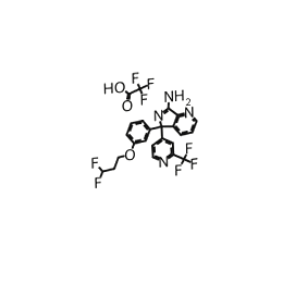 NC1=NC(c2cccc(OCCC(F)F)c2)(c2ccnc(C(F)(F)F)c2)c2cccnc21.O=C(O)C(F)(F)F